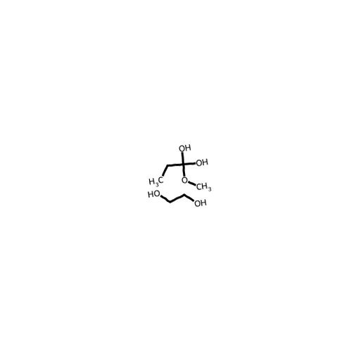 CCC(O)(O)OC.OCCO